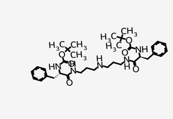 CC(C)(C)OC(=O)N[C@@H](Cc1ccccc1)C(=O)NCCCNCCCNC(=O)[C@H](Cc1ccccc1)NC(=O)OC(C)(C)C